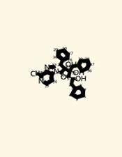 OC(Cc1ccccc1)[C@H]1O[C@@H](n2cnc3c(Cl)nccc32)[C@](O)(Cc2ccccc2)[C@@]1(O)Cc1ccccc1